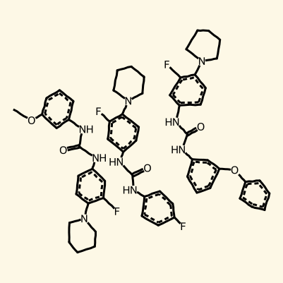 COc1cccc(NC(=O)Nc2ccc(N3CCCCC3)c(F)c2)c1.O=C(Nc1ccc(F)cc1)Nc1ccc(N2CCCCC2)c(F)c1.O=C(Nc1cccc(Oc2ccccc2)c1)Nc1ccc(N2CCCCC2)c(F)c1